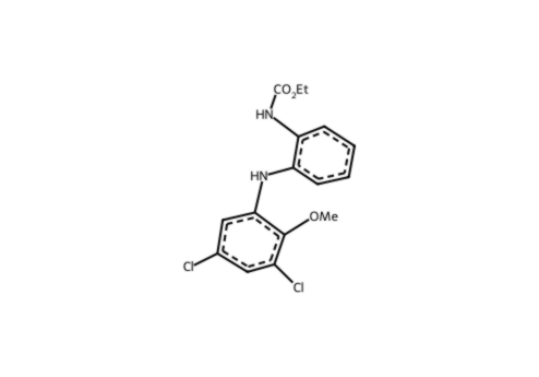 CCOC(=O)Nc1ccccc1Nc1cc(Cl)cc(Cl)c1OC